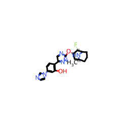 C[C@@]12CCCC(N1)[C@@H](F)[C@@H](Oc1ncc(-c3ccc(-n4ccnc4)cc3O)nn1)C2